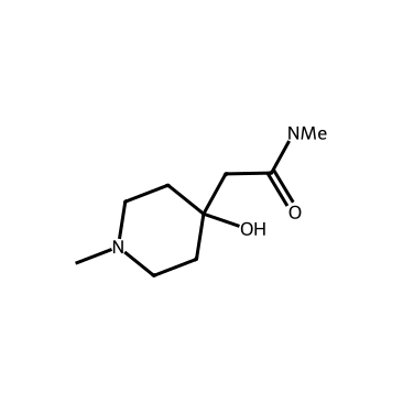 CNC(=O)CC1(O)CCN(C)CC1